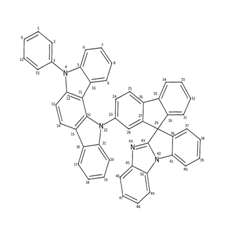 c1ccc(-n2c3ccccc3c3c2ccc2c4ccccc4n(-c4ccc5c(c4)C4(c6ccccc6-5)c5ccccc5-n5c4nc4ccccc45)c23)cc1